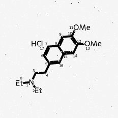 CCN(CC)CCc1ccc2cc(OC)c(OC)cc2c1.Cl